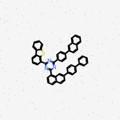 c1ccc(-c2ccc(-c3ccc4cccc(-c5nc(-c6ccc(-c7ccc8ccccc8c7)cc6)nc(-c6cccc7c6sc6ccccc67)n5)c4c3)cc2)cc1